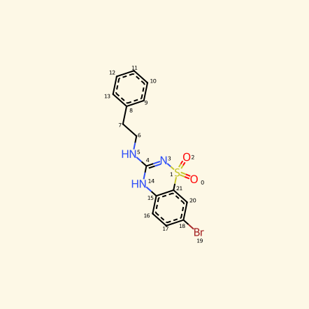 O=S1(=O)N=C(NCCc2ccccc2)Nc2ccc(Br)cc21